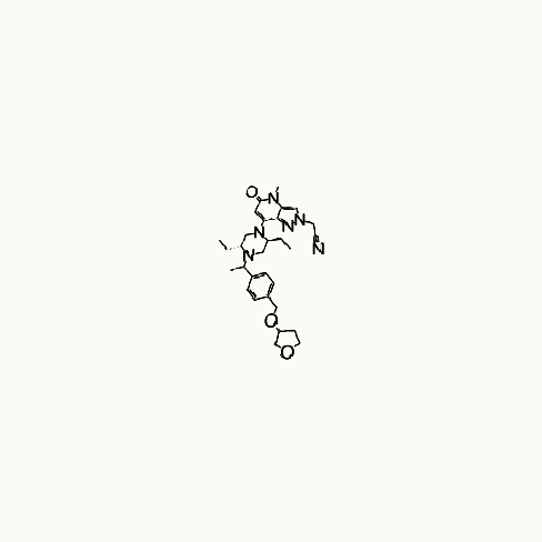 CC[C@H]1CN(C(C)c2ccc(COC3CCOC3)cc2)[C@H](CC)CN1c1cc(=O)n(C)c2cn(CC#N)nc12